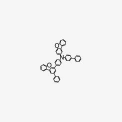 c1ccc(-c2ccc(N(c3ccc(-c4cc(-c5ccccc5)cc5c4oc4ccccc45)cc3)c3ccc4oc5ccccc5c4c3)cc2)cc1